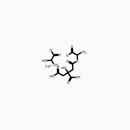 CC(O)C(=O)[O-].CC(OC(=O)CC(O)(CC(=O)O)C(=O)O)C(=O)[O-].[Ca+2]